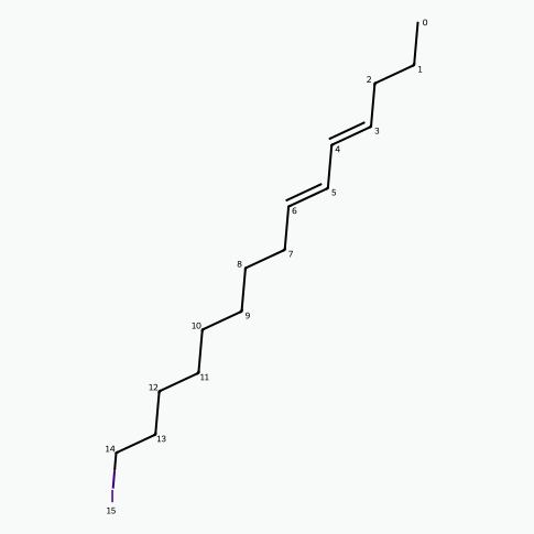 CCCC=CC=CCCCCCCCCI